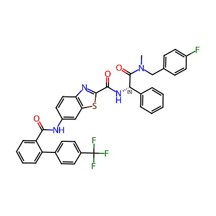 CN(Cc1ccc(F)cc1)C(=O)[C@@H](NC(=O)c1nc2ccc(NC(=O)c3ccccc3-c3ccc(C(F)(F)F)cc3)cc2s1)c1ccccc1